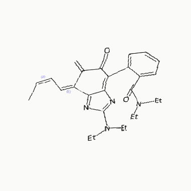 C=C1C(=O)C(c2ccccc2C(=O)N(CC)CC)=C2N=C(N(CC)CC)N=C2/C1=C/C=C\C